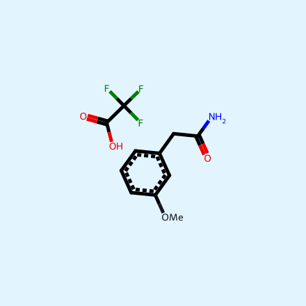 COc1cccc(CC(N)=O)c1.O=C(O)C(F)(F)F